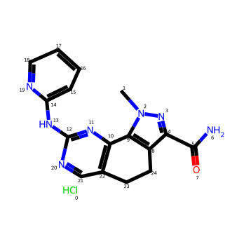 Cl.Cn1nc(C(N)=O)c2c1-c1nc(Nc3ccccn3)ncc1CC2